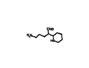 NCCCC(C=O)C1CCCCN1